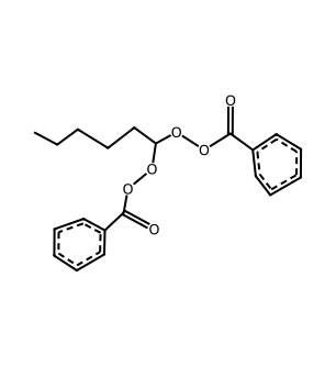 CCCCCC(OOC(=O)c1ccccc1)OOC(=O)c1ccccc1